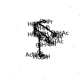 CC(=O)NC1C(OCCCCCC(=O)NCCCCCC(=O)N(CCO)CCOP(=O)(O)OCCN(CCOP(=O)(O)OCCN(CCOC2CCC(C(C)C)CC2)C(=O)CCCCCNC(=O)CCCCCOC2OC(CO)C(O)C(O)C2NC(C)=O)C(=O)CCCCCNC(=O)CCCCCOC2OC(CO)CC(O)(CO)C2NC(C)=O)OC(CO)C(O)C1O